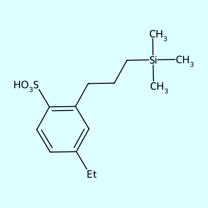 CCc1ccc(S(=O)(=O)O)c(CCC[Si](C)(C)C)c1